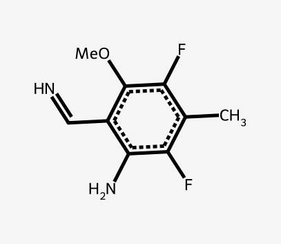 COc1c(F)c(C)c(F)c(N)c1C=N